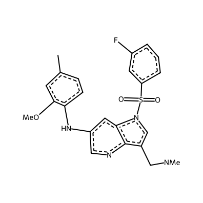 CNCc1cn(S(=O)(=O)c2cccc(F)c2)c2cc(Nc3ccc(C)cc3OC)cnc12